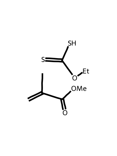 C=C(C)C(=O)OC.CCOC(=S)S